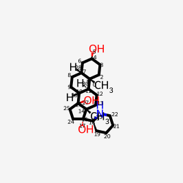 C[C@]12CC[C@H](O)C[C@H]1CC[C@@H]1[C@@H]2CC[C@]2(C)[C@@](O)([C@@H]3CCCCN3)CC[C@]12O